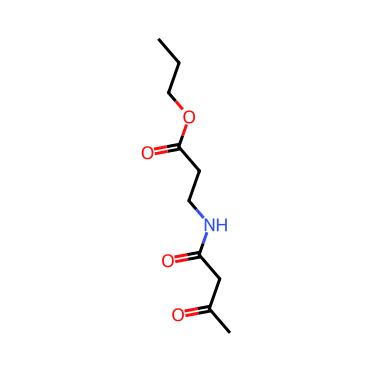 CCCOC(=O)CCNC(=O)CC(C)=O